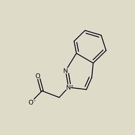 O=C([O-])C[n+]1ccc2ccccc2n1